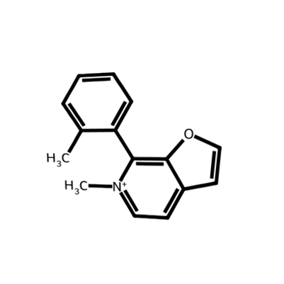 Cc1ccccc1-c1c2occc2cc[n+]1C